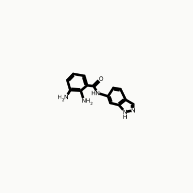 Nc1cccc(C(=O)Nc2ccc3cn[nH]c3c2)c1N